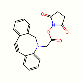 O=C(CN1Cc2ccccc2C#Cc2ccccc21)ON1C(=O)CCC1=O